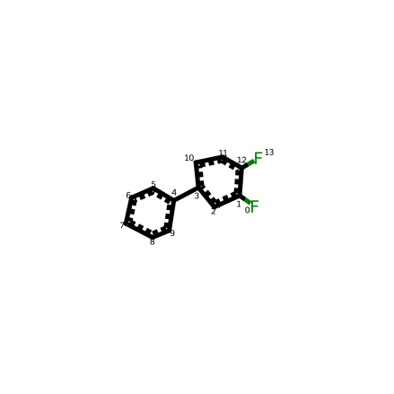 Fc1[c]c(-c2ccccc2)ccc1F